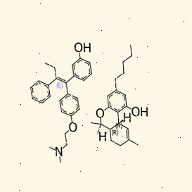 CC/C(=C(/c1ccc(OCCN(C)C)cc1)c1cccc(O)c1)c1ccccc1.CCCCCc1cc(O)c2c(c1)OC(C)(C)[C@@H]1CCC(C)=C[C@@H]21